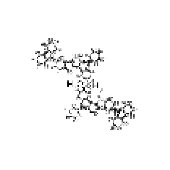 C[Si](C)(c1ccc2c(c1)c1c3c(ccc1n2-c1ccccc1)-c1cc(-n2c4ccccc4c4ccccc42)ccc1C3)c1ccc2c(c1)c1c3c(ccc1n2-c1ccccc1)-c1cc(-n2c4ccccc4c4ccccc42)ccc1C3